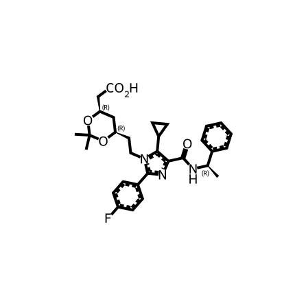 C[C@@H](NC(=O)c1nc(-c2ccc(F)cc2)n(CC[C@@H]2C[C@H](CC(=O)O)OC(C)(C)O2)c1C1CC1)c1ccccc1